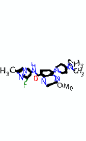 COc1cnc2c(C(=O)Nc3cc(F)c4nc(C)cn4c3)ccc(N3CCC(N(C)C)CC3)c2n1